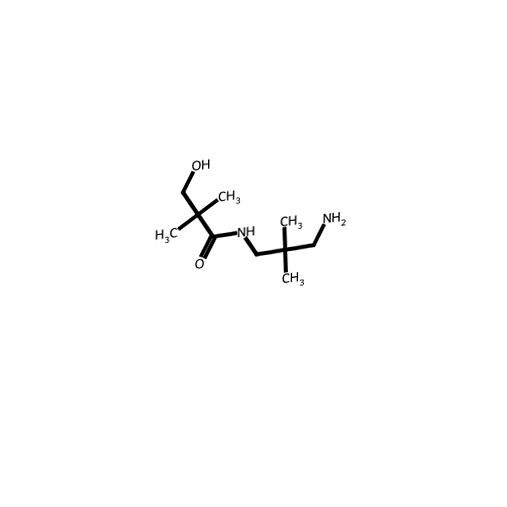 CC(C)(CN)CNC(=O)C(C)(C)CO